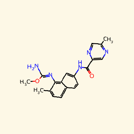 CO/C(N)=N\c1c(C)ccc2ccc(NC(=O)c3cnc(C)cn3)cc12